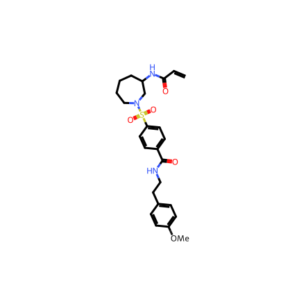 C=CC(=O)NC1CCCCN(S(=O)(=O)c2ccc(C(=O)NCCc3ccc(OC)cc3)cc2)C1